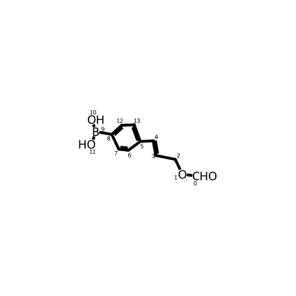 O=COC/C=C/c1ccc(B(O)O)cc1